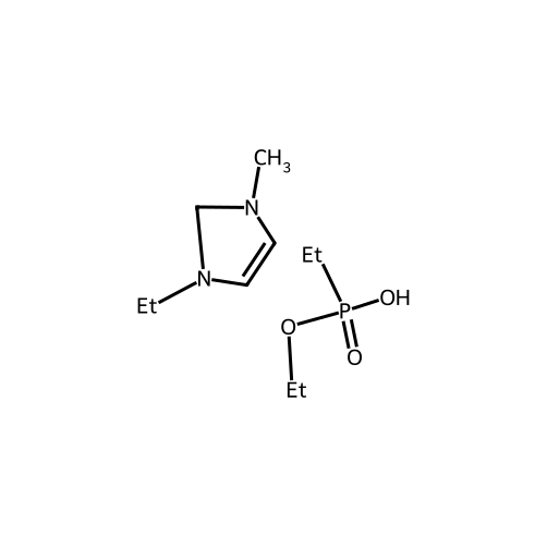 CCN1C=CN(C)C1.CCOP(=O)(O)CC